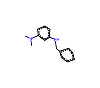 CN(C)c1cccc(NCc2ccccc2)c1